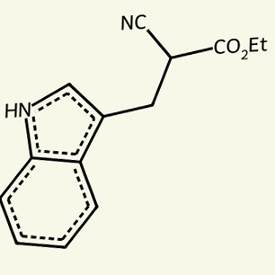 CCOC(=O)C(C#N)Cc1c[nH]c2ccccc12